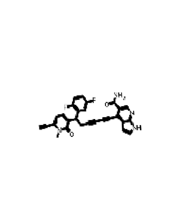 C#Cc1ccc(C(CC#CC#Cc2c(C(N)=O)cnc3[nH]ccc23)c2cc(F)ccc2F)c(=O)n1C